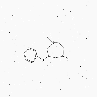 CN1CCN(I)CC(Oc2ccccc2)C1